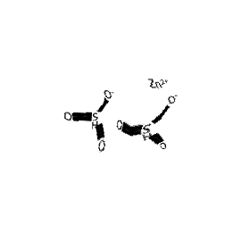 O=[SH](=O)[O-].O=[SH](=O)[O-].[Zn+2]